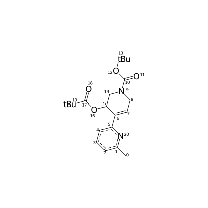 Cc1cccc(C2=CCN(C(=O)OC(C)(C)C)CC2OC(=O)C(C)(C)C)n1